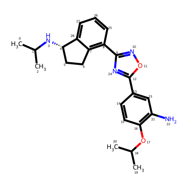 CC(C)N[C@H]1CCc2c(-c3noc(-c4ccc(OC(C)C)c(N)c4)n3)cccc21